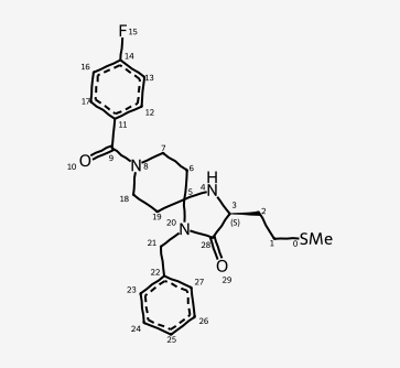 CSCC[C@@H]1NC2(CCN(C(=O)c3ccc(F)cc3)CC2)N(Cc2ccccc2)C1=O